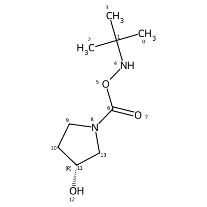 CC(C)(C)NOC(=O)N1CC[C@@H](O)C1